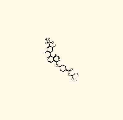 CC(C)OC(=O)N1CCC(Oc2ncnc3c(-c4cc(F)c(S(C)(=O)=O)cc4F)nccc23)CC1